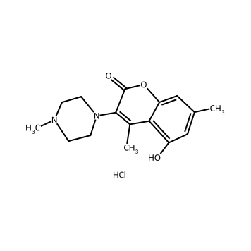 Cc1cc(O)c2c(C)c(N3CCN(C)CC3)c(=O)oc2c1.Cl